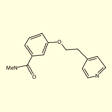 CNC(=O)c1cccc(OCCc2ccncc2)c1